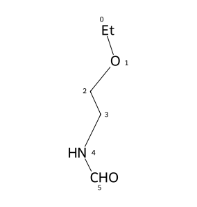 CCOCCNC=O